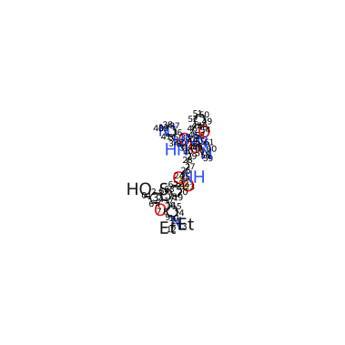 C=c1ccc2c(c1)Oc1cc(N(CC)CC)ccc1C=2c1ccc(S(=O)(=O)NCCCCC(NC(=O)Cc2ccc[n+](C)c2)C(=O)NC(Cc2ccccc2)C(=O)N2CCN(C)CC2)cc1S(=O)(=O)O